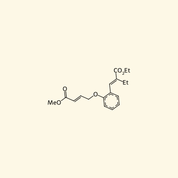 CCOC(=O)/C(=C/c1ccccc1OC/C=C/C(=O)OC)CC